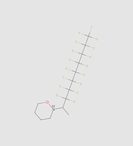 CC([SiH]1CCCCO1)C(F)(F)C(F)(F)C(F)(F)C(F)(F)C(F)(F)C(F)(F)C(F)(F)C(F)(F)F